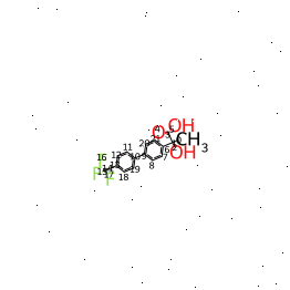 CC(O)(C(=O)O)c1ccc(-c2ccc(C(F)(F)F)cc2)cc1